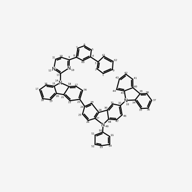 c1ccc(-c2cccc(-c3ccnc(-n4c5ccccc5c5cc(-c6ccc7c(c6)c6cc(-n8c9ccccc9c9ccccc98)ccc6n7-c6ccccc6)ccc54)n3)c2)cc1